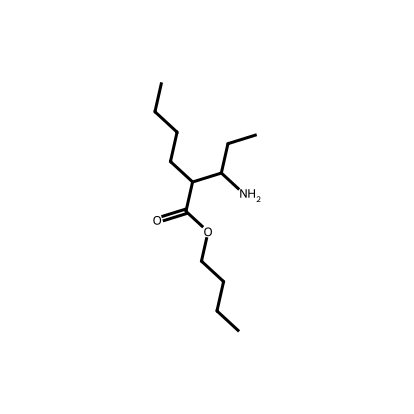 CCCCOC(=O)C(CCCC)C(N)CC